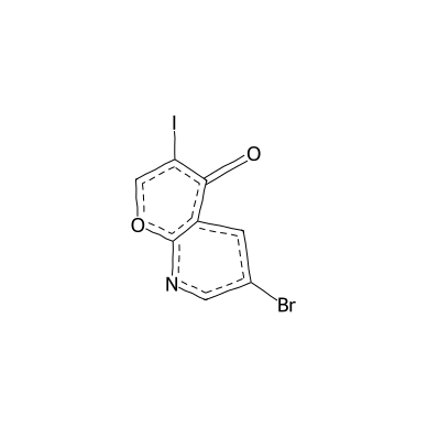 O=c1c(I)coc2ncc(Br)cc12